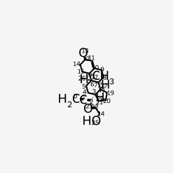 C=C=C[C@]12CC[C@H]3[C@@H](CCC4=CC(=O)CC[C@@]43C)[C@@H]1CC[C@@H]2C(=O)CO